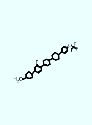 C=CC1CCC(c2ccc(C3=CCC(C4CCC(c5ccc(OC(F)(F)F)cc5)CC4)CC3)c(F)c2)CC1